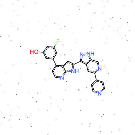 Oc1cc(F)cc(-c2ccnc3[nH]c(-c4n[nH]c5cnc(-c6ccncc6)cc45)cc23)c1